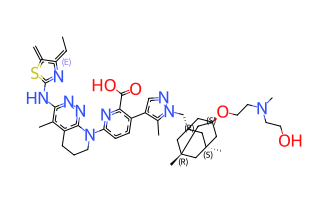 C=c1sc(Nc2nnc3c(c2C)CCCN3c2ccc(-c3cnn(C[C@]45C[C@]6(C)C[C@](C)(C4)C[C@@](OCCN(C)CCO)(C6)C5)c3C)c(C(=O)O)n2)n/c1=C/C